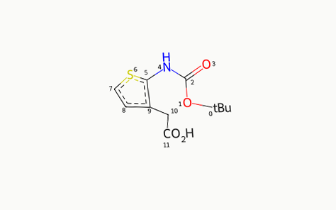 CC(C)(C)OC(=O)Nc1sccc1CC(=O)O